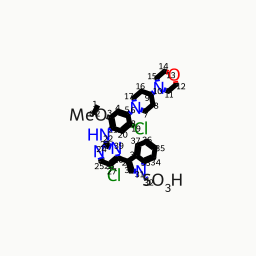 CC.COc1cc(N2CCC(N3CCOCC3)CC2)c(Cl)cc1Nc1ncc(Cl)c(-c2cn(S(=O)(=O)O)c3ccccc23)n1